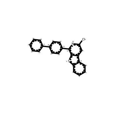 Clc1cc2c(sc3ccccc32)c(-c2ccc(-c3ccccc3)cc2)n1